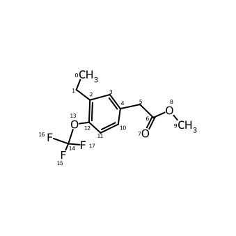 CCc1cc(CC(=O)OC)ccc1OC(F)(F)F